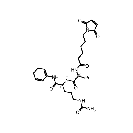 CC(C)[C@H](NC(=O)CCCCCN1C(=O)C=CC1=O)C(=O)N[C@@H](CCCNC(N)=O)C(=O)NC1=CCCC=C1